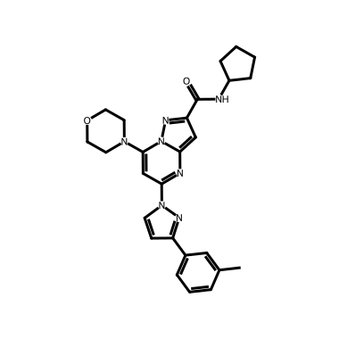 Cc1cccc(-c2ccn(-c3cc(N4CCOCC4)n4nc(C(=O)NC5CCCC5)cc4n3)n2)c1